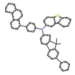 CC1(C)c2cc(-c3ccccc3)ccc2-c2ccc(N(c3ccc(-c4cccc5c4ccc4ccccc45)cc3)c3ccc4sc5ccccc5c4c3)cc21